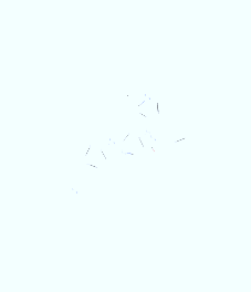 C=CCn1c(=O)c2cnc(Nc3ccc4c(c3)CCC(N(C)C)C4)cc2n1-c1ccnc(C(C)(C)F)c1